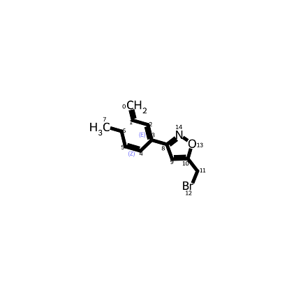 C=C/C=C(\C=C/CC)c1cc(CBr)on1